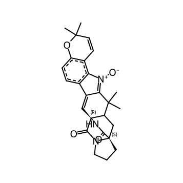 CC1(C)C=Cc2c(ccc3c2[N+]([O-])=C2C3=C[C@@]34NC(=O)[C@]5(CCCN5C3=O)CC4C2(C)C)O1